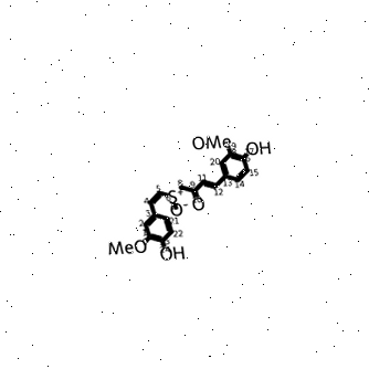 COc1cc(/C=C\[S+]([O-])CC(=O)/C=C/c2ccc(O)c(OC)c2)ccc1O